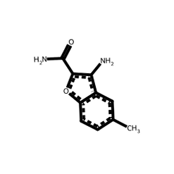 Cc1ccc2oc(C(N)=O)c(N)c2c1